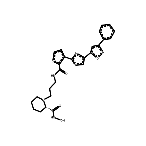 O=C(NCCCN1CCCC[C@H]1C(=O)NO)c1sccc1-c1nc(-c2cc(-c3ccccc3)no2)cs1